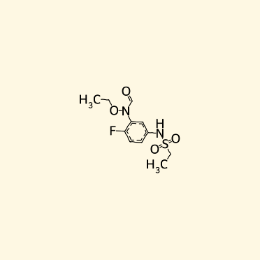 CCON(C=O)c1cc(NS(=O)(=O)CC)ccc1F